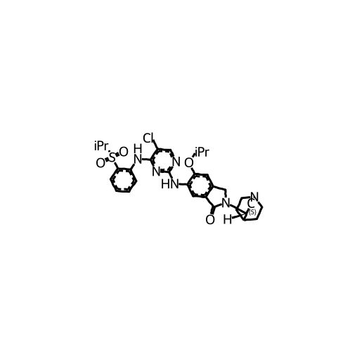 CC(C)Oc1cc2c(cc1Nc1ncc(Cl)c(Nc3ccccc3S(=O)(=O)C(C)C)n1)C(=O)N([C@@H]1CN3CCC1CC3)C2